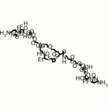 CCC(CSC1CCC1SCC(CC(=O)CCOCCC(C)=O)C(=O)NCCC(=O)OCC(=O)OCOP(=O)(O)OC[C@H]1O[C@@H](n2ccc(N)nc2=O)C(F)(F)[C@@H]1O)C(=O)NCCC(=O)OCC(=O)OCOP(=O)(O)OC[C@H]1O[C@@H](n2ccc(N)nc2=O)C(F)(F)[C@@H]1O